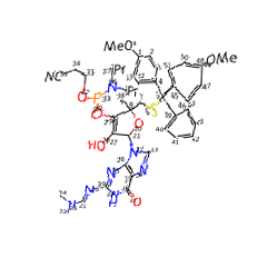 COc1ccc(C(SCC2(C)OC(n3cnc4c(=O)[nH]c(/N=C/N(C)C)nc43)C(O)=C2OP(OCCC#N)N(C(C)C)C(C)C)(c2ccccc2)c2ccc(OC)cc2)cc1